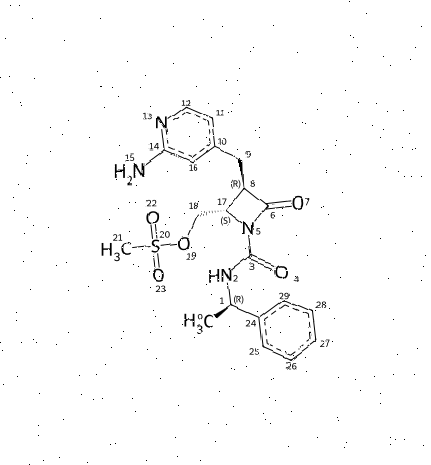 C[C@@H](NC(=O)N1C(=O)[C@H](Cc2ccnc(N)c2)[C@H]1COS(C)(=O)=O)c1ccccc1